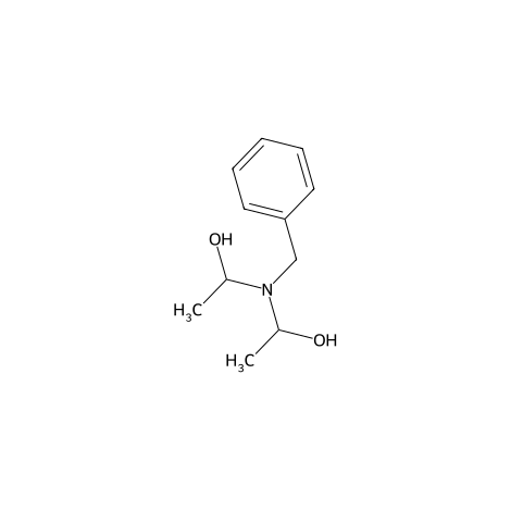 CC(O)N(Cc1ccccc1)C(C)O